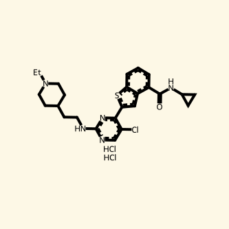 CCN1CCC(CCNc2ncc(Cl)c(-c3cc4c(C(=O)NC5CC5)cccc4s3)n2)CC1.Cl.Cl